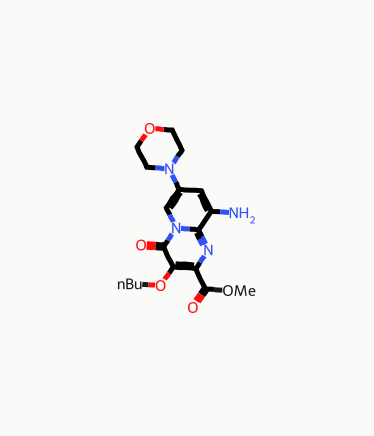 CCCCOc1c(C(=O)OC)nc2c(N)cc(N3CCOCC3)cn2c1=O